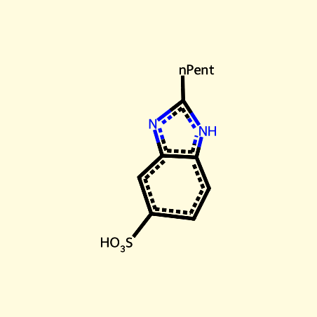 CCCCCc1nc2cc(S(=O)(=O)O)ccc2[nH]1